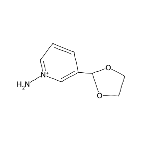 N[n+]1cccc(C2OCCO2)c1